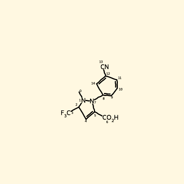 CN1C(C(F)(F)F)C=C(C(=O)O)N1c1cccc(C#N)c1